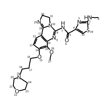 CNc1nc(C(=O)NC2=Nc3c(ccc(OCCCN4CCOCC4)c3OC)C3=NCCN23)cs1